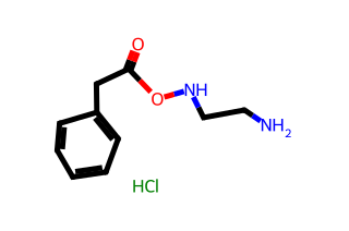 Cl.NCCNOC(=O)Cc1ccccc1